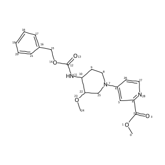 COC(=O)c1cc(N2CCC(NC(=O)OCc3ccccc3)C(OC)C2)ccn1